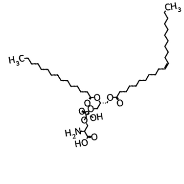 CCCCCCCCCC/C=C\CCCCCCCCCC(=O)OC[C@H](COP(=O)(O)OC[C@H](N)C(=O)O)OC(=O)CCCCCCCCCCCCCC